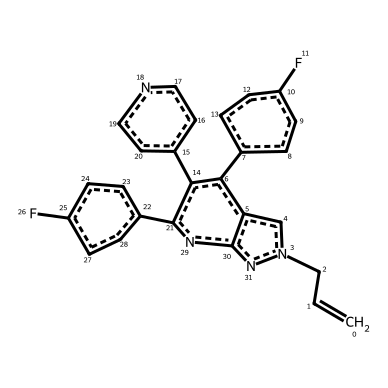 C=CCn1cc2c(-c3ccc(F)cc3)c(-c3ccncc3)c(-c3ccc(F)cc3)nc2n1